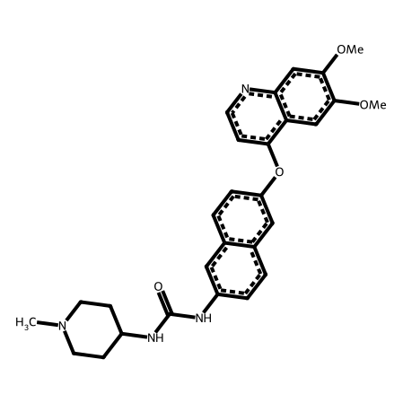 COc1cc2nccc(Oc3ccc4cc(NC(=O)NC5CCN(C)CC5)ccc4c3)c2cc1OC